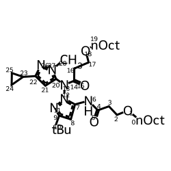 CCCCCCCCOCCC(=O)Nc1cc(C(C)(C)C)nn1N(C(=O)CCOCCCCCCCC)c1cc(C2CC2)nn1C